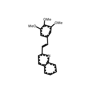 COc1cc(C=Cc2ccc3ccccc3n2)cc(OC)c1OC